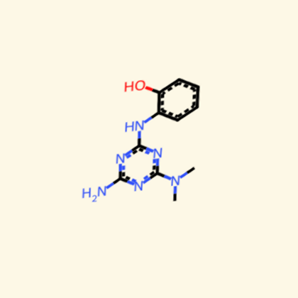 CN(C)c1nc(N)nc(Nc2ccccc2O)n1